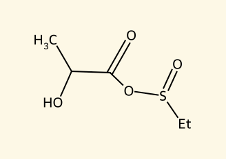 CCS(=O)OC(=O)C(C)O